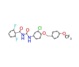 O=C(NC(=O)c1c(F)cccc1F)Nc1ccc(OCc2ccc(OC(F)(F)F)cc2)c(Cl)c1